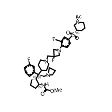 COC(=O)N[C@H]1CCC[C@@H]1[C@](CN1CCC1)(c1cccc(F)c1)C1CCN(CC2(F)CN(c3ccc(S(=O)(=O)[C@H]4CCCN(C(C)=O)C4)cc3F)C2)CC1